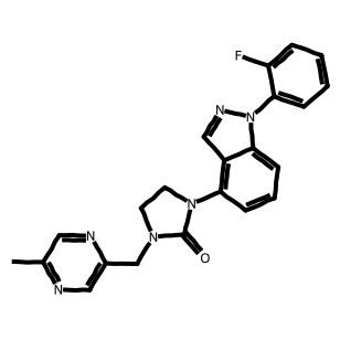 Cc1cnc(CN2CCN(c3cccc4c3cnn4-c3ccccc3F)C2=O)cn1